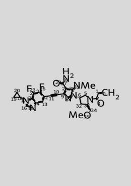 C=CC(=O)N1C[C@@H](n2nc(C#Cc3cc4ncn(C5CC5)c4c(F)c3F)c(C(N)=O)c2NC)C/C1=C\OC